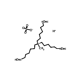 CCCCCCCCCCCCCCCC[N+](C)(CCCCCCCCCCCCCCCC)CCCCCCCCCCCCCCCC.O=S(=O)([O-])[O-].[H+]